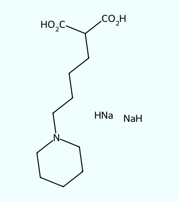 O=C(O)C(CCCCN1CCCCC1)C(=O)O.[NaH].[NaH]